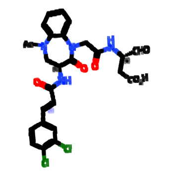 CC(=O)N1C[C@H](NC(=O)/C=C/c2ccc(Cl)c(Cl)c2)C(=O)N(CC(=O)N[C@H](C=O)CC(=O)O)c2ccccc21